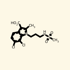 Cc1c(C(=O)O)c2ccc(Cl)c(Cl)c2n1CCCNS(C)(=O)=O